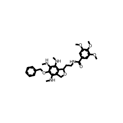 CNc1c2c(c(NC)c(NC)c1OCc1ccccc1)C(CCNC(=O)c1cc(OC)c(OC)c(OC)c1)OC2